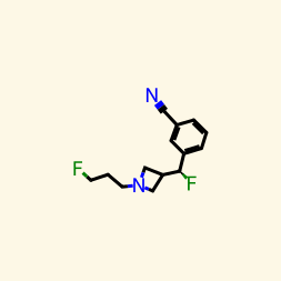 N#Cc1cccc([C@@H](F)C2CN(CCCF)C2)c1